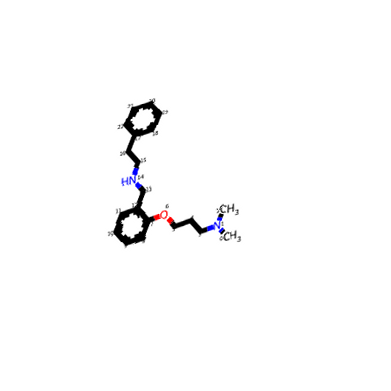 CN(C)CCCOc1ccccc1CNCCc1ccccc1